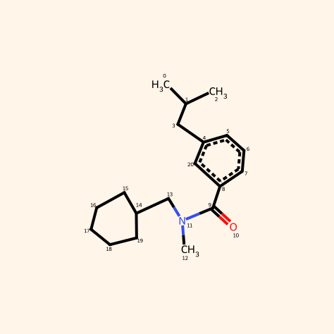 CC(C)Cc1cccc(C(=O)N(C)CC2CCCCC2)c1